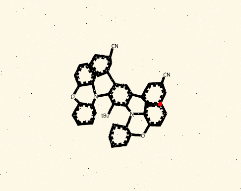 CC(C)(C)c1c(N2c3ccccc3Oc3ccccc32)c(-c2cccc(C#N)c2)cc(-c2cccc(C#N)c2)c1N1c2ccccc2Oc2ccccc21